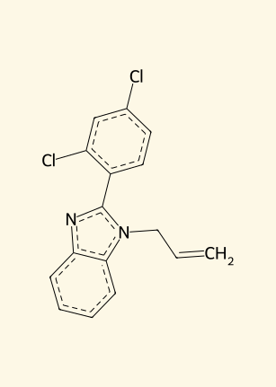 C=CCn1c(-c2ccc(Cl)cc2Cl)nc2ccccc21